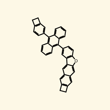 c1ccc2c(-c3ccc4oc5cc6cc7c(cc6cc5c4c3)CC7)c3ccccc3c(-c3ccc4c(c3)CC4)c2c1